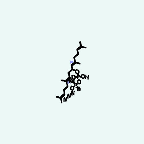 CC(C)=CCC/C(C)=C/CC(/C=C(\C)CCC=C(C)C)OP(=O)(O)OP(=O)(O)ON=[N+]=[N-]